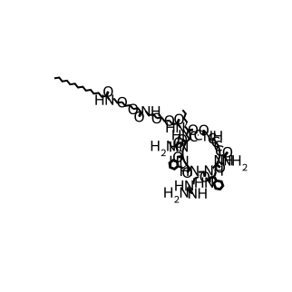 CCCCCCCCCCCCCC(=O)NCCOCCOCC(=O)NCCOCCOCC(=O)N[C@@H](CCCC)C(=O)N[C@H]1CCC(=O)NCCCC[C@@H](C(N)=O)NC(=O)[C@H](Cc2c[nH]c3ccccc23)NC(=O)[C@H](CCCNC(=N)N)NC(=O)[C@@H](Cc2ccccc2)NC(=O)[C@H](CC(N)=O)NC1=O